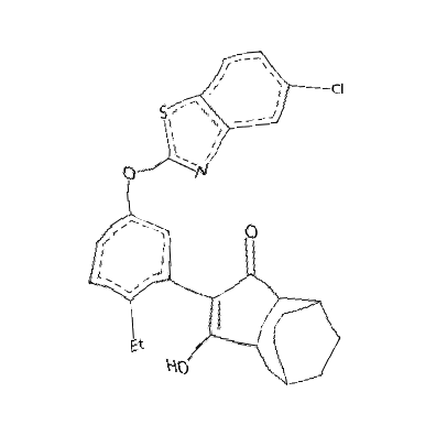 CCc1ccc(Oc2nc3cc(Cl)ccc3s2)cc1C1=C(O)C2C3CCC(CC3)C2C1=O